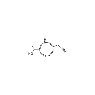 CC(O)c1ccccc(CC#N)c[nH]c1